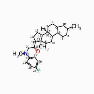 CC1CCC2C(CC[C@@H]3C2CCC2(C)C3CC[C@@H]2C(=O)CN(C)c2ccc(F)cc2)C1